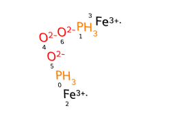 P.P.[Fe+3].[Fe+3].[O-2].[O-2].[O-2]